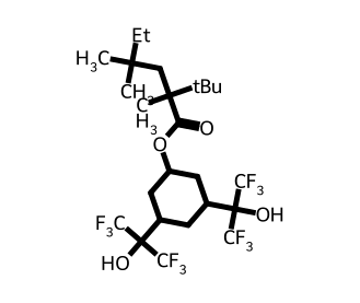 CCC(C)(C)CC(C)(C(=O)OC1CC(C(O)(C(F)(F)F)C(F)(F)F)CC(C(O)(C(F)(F)F)C(F)(F)F)C1)C(C)(C)C